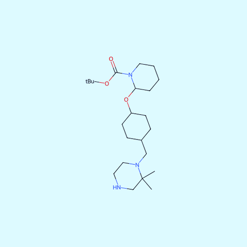 CC(C)(C)OC(=O)N1CCCCC1OC1CCC(CN2CCNCC2(C)C)CC1